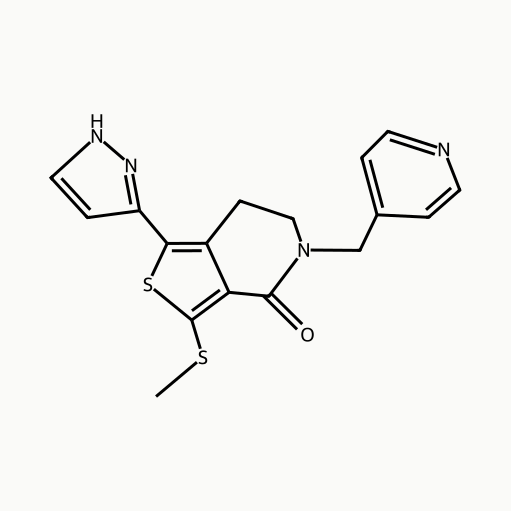 CSc1sc(-c2cc[nH]n2)c2c1C(=O)N(Cc1ccncc1)CC2